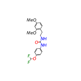 COc1ccc(CCNC(=O)Nc2ccc(OC(F)F)cc2)c(OC)c1